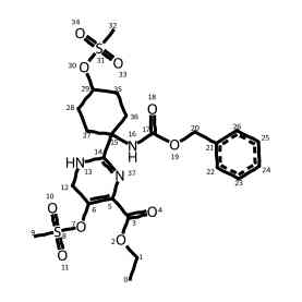 CCOC(=O)C1=C(OS(C)(=O)=O)CNC(C2(NC(=O)OCc3ccccc3)CCC(OS(C)(=O)=O)CC2)=N1